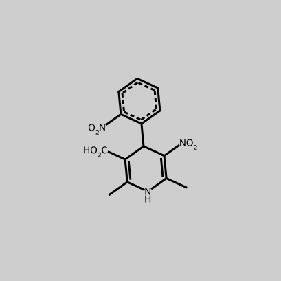 CC1=C(C(=O)O)C(c2ccccc2[N+](=O)[O-])C([N+](=O)[O-])=C(C)N1